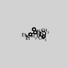 CCN(CC)c1ccc(-c2cc3c(c4ccccc24)N=CC2(O3)N3c4c(cccc4C2(C)C)CCC3C)cc1